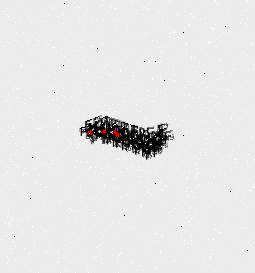 Cc1c(F)c(F)c(F)c2c(F)c(-c3c(F)c(F)c(-c4c(F)c(F)c(-c5c(F)c(F)c(-c6c(F)c(F)c(-c7c(F)c(F)c8c(F)c(F)c(F)c(F)c8c7F)c(F)c6F)c(F)c5F)c(F)c4F)c(F)c3F)c(F)c(F)c12